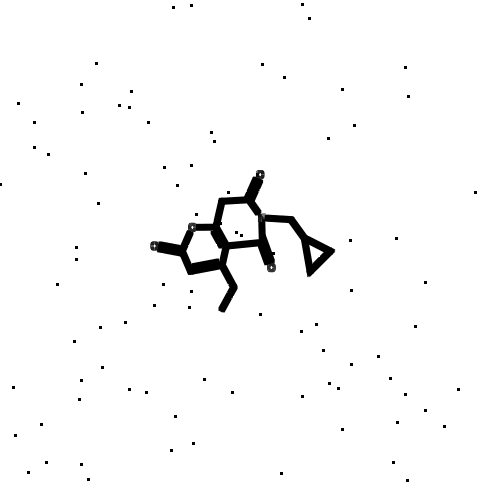 CCc1cc(=O)oc2c1C(=O)N(CC1CC1)C(=O)C2